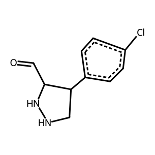 O=CC1NNCC1c1ccc(Cl)cc1